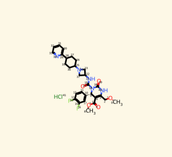 COCC1=C(C(=O)OC)[C@H](c2ccc(F)c(F)c2)N(C(=O)NC2CN(C3CCC(c4ccccn4)CC3)C2)C(=O)N1.Cl